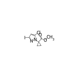 COC(=O)C1(n2nc(I)cc2Cl)CC1